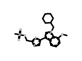 COc1cccc2c(-c3cnc(COS(C)(=O)=O)s3)cn(CC3CCCCC3)c12